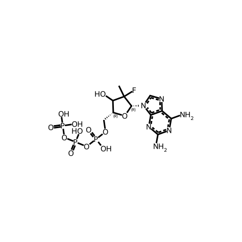 CC1(F)C(O)[C@@H](COP(=O)(O)OP(=O)(O)OP(=O)(O)O)O[C@H]1n1cnc2c(N)nc(N)nc21